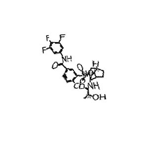 C[C@H](O)C(=O)NC[C@@]1(O)C2CC[C@H]1C[C@H](S(=O)(=O)c1cc(C(=O)Nc3cc(F)c(F)c(F)c3)ccc1Cl)C2